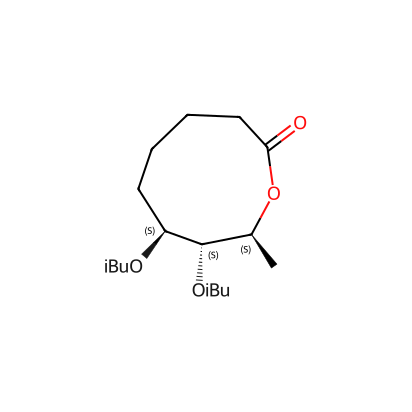 CC(C)CO[C@H]1[C@H](C)OC(=O)CCCC[C@@H]1OCC(C)C